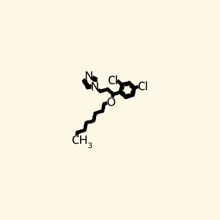 CCCCCCCCOC(CCn1ccnc1)c1ccc(Cl)cc1Cl